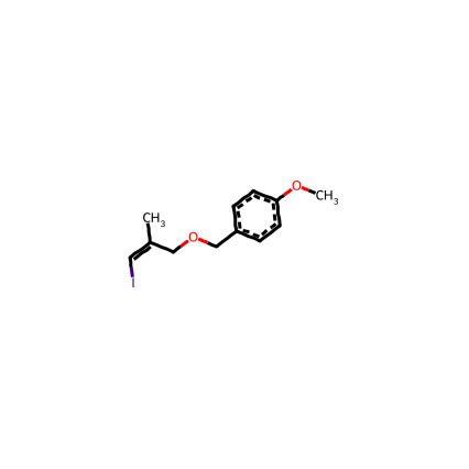 COc1ccc(COC/C(C)=C\I)cc1